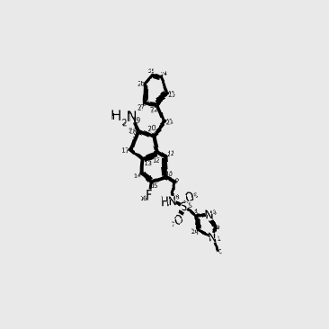 Cn1cnc(S(=O)(=O)NCc2cc3c(cc2F)CC(N)C3Cc2ccccc2)c1